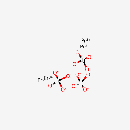 [O-][Ti]([O-])([O-])[O-].[O-][Ti]([O-])([O-])[O-].[O-][Ti]([O-])([O-])[O-].[Pr+3].[Pr+3].[Pr+3].[Pr+3]